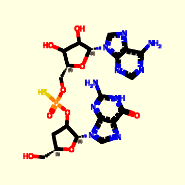 Nc1nc2c(ncn2[C@@H]2O[C@H](CO)CC2OP(=O)(S)OC[C@H]2O[C@@H](n3cnc4c(N)ncnc43)C(O)C2O)c(=O)[nH]1